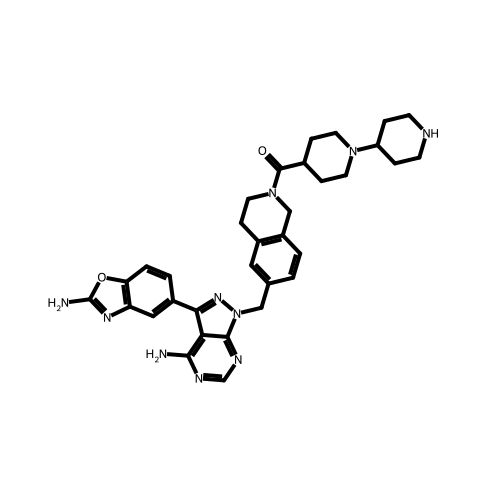 Nc1nc2cc(-c3nn(Cc4ccc5c(c4)CCN(C(=O)C4CCN(C6CCNCC6)CC4)C5)c4ncnc(N)c34)ccc2o1